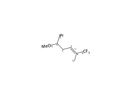 COC(C/C=C(\C)C(F)(F)F)C(C)C